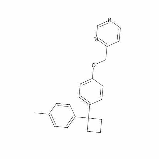 Cc1ccc(C2(c3ccc(OCc4ccncn4)cc3)CCC2)cc1